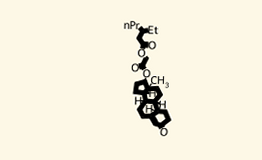 CCCC(CC)CC(=O)OCC(=O)O[C@H]1CC[C@H]2[C@@H]3CCC4=CC(=O)CC[C@@H]4[C@H]3CC[C@]12C